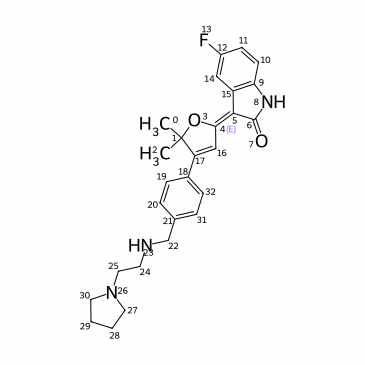 CC1(C)O/C(=C2/C(=O)Nc3ccc(F)cc32)C=C1c1ccc(CNCCN2CCCC2)cc1